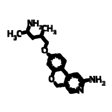 CC(N)CC(C)COc1ccc2c(c1)OCc1cnc(N)cc1-2